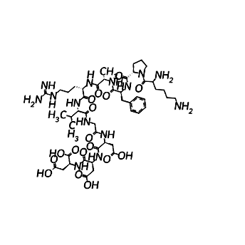 CC(C)[C@H](NC(=O)[C@H](CCCNC(=N)N)NC(=O)[C@H](C)NC(=O)[C@H](Cc1ccccc1)NC(=O)[C@@H]1CCCN1C(=O)[C@@H](N)CCCCN)C(=O)NCC(=O)N[C@@H](CC(=O)O)C(=O)N[C@@H](CC(=O)O)C(=O)N[C@@H](CC(=O)O)C(=O)O